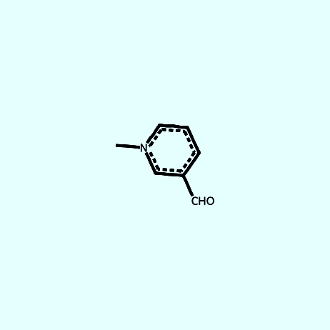 C[n+]1cccc(C=O)c1